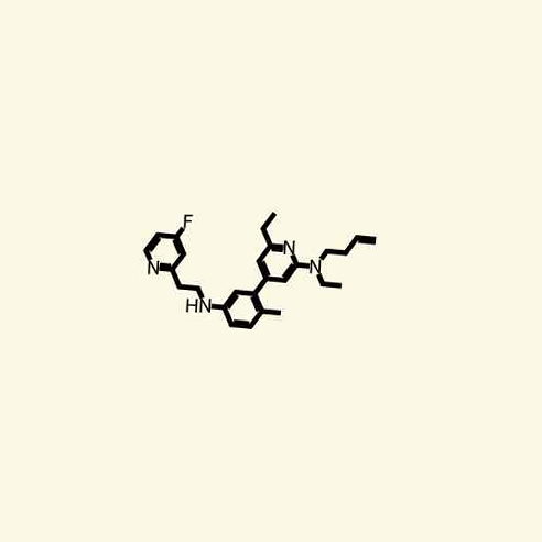 C=CCCN(CC)c1cc(-c2cc(NCCc3cc(F)ccn3)ccc2C)cc(CC)n1